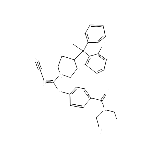 CCN(CC)C(=O)c1ccc(N/C(=N/C#N)N2CCC(C(O)(c3ccccc3)c3ccccc3C)CC2)cc1